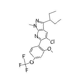 CCC(CC)c1nn(C)c2nc(-c3ccc(OC(F)(F)F)cc3OC)c(Cl)cc12